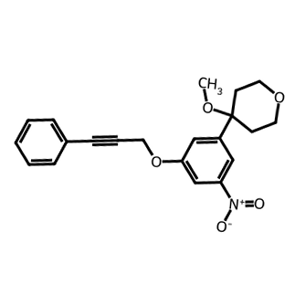 COC1(c2cc(OCC#Cc3ccccc3)cc([N+](=O)[O-])c2)CCOCC1